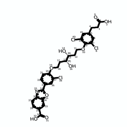 O=C(O)CCc1cc(Cl)c(OCC[C@@H](O)[C@H](O)CCOc2ccc(-c3nc4ccc(C(=O)O)cc4o3)cc2Cl)c(Cl)c1